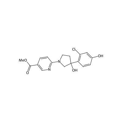 COC(=O)c1ccc(N2CCC(O)(c3ccc(O)cc3Cl)C2)nc1